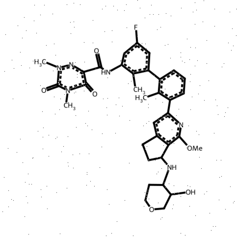 COc1nc(-c2cccc(-c3cc(F)cc(NC(=O)c4nn(C)c(=O)n(C)c4=O)c3C)c2C)cc2c1C(NC1CCOCC1O)CC2